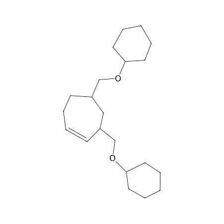 C1=CC(COC2CCCCC2)CC(COC2CCCCC2)CC1